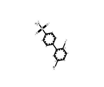 NS(=O)(=O)c1ccc(-c2cc(Br)ccc2F)cc1